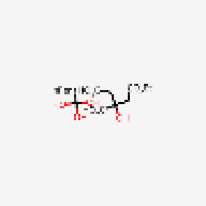 CCCCCC(O)(O)O.CCOC(=O)CC(O)(CC(=O)O)C(=O)O